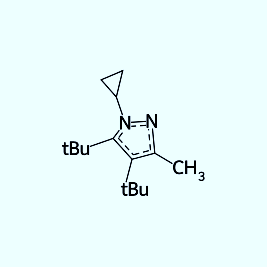 Cc1nn(C2CC2)c(C(C)(C)C)c1C(C)(C)C